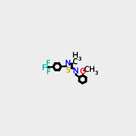 COc1ccccc1/C=N/c1sc(-c2ccc(C(F)(F)F)cc2)nc1C